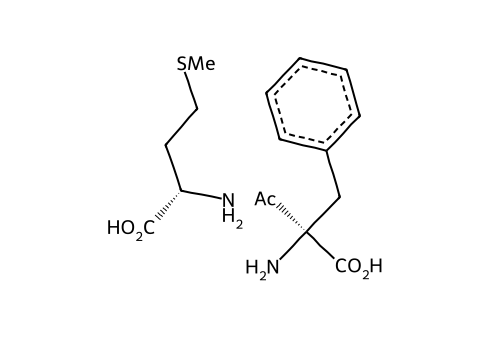 CC(=O)[C@](N)(Cc1ccccc1)C(=O)O.CSCC[C@H](N)C(=O)O